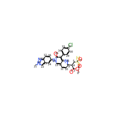 COC(=O)C(C[SH](=O)=O)c1ccc2cn(-c3ccc4nn(C)cc4c3)c(=O)c(-c3ccc(Cl)cc3)c2n1